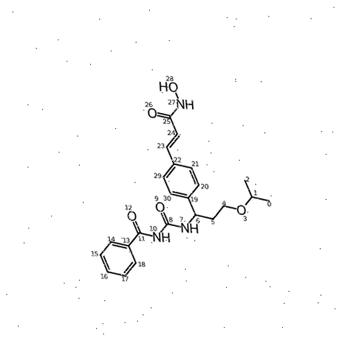 CC(C)OCCC(NC(=O)NC(=O)c1ccccc1)c1ccc(C=CC(=O)NO)cc1